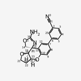 N#Cc1cccc(-c2ccc3c(c2)[C@@]2(COC(N)=N2)[C@@H]2OCC[C@@H]2O3)c1